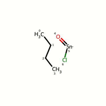 CCCC.[O]=[Sn][Cl]